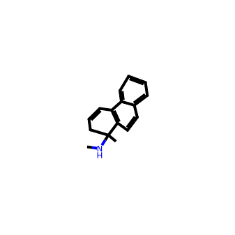 CNC1(C)CC=Cc2c1ccc1ccccc21